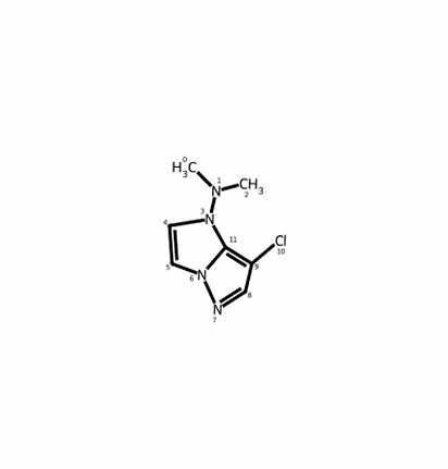 CN(C)n1ccn2ncc(Cl)c12